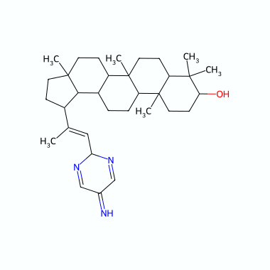 CC(=CC1N=CC(=N)C=N1)C1CCC2(C)CCC3C(CCC4C3(C)CCC3C(C)(C)C(O)CCC34C)C12